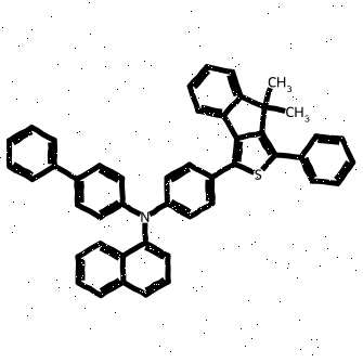 CC1(C)c2ccccc2-c2c(-c3ccc(N(c4ccc(-c5ccccc5)cc4)c4cccc5ccccc45)cc3)sc(-c3ccccc3)c21